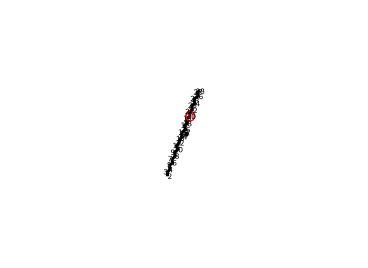 C=C.CCCCCCCCCCCCCCCCCCOCCCCCCCC